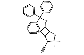 CC1(C)SC2C(NC(c3ccccc3)(c3ccccc3)c3ccccc3)C(=O)N2C1C#N